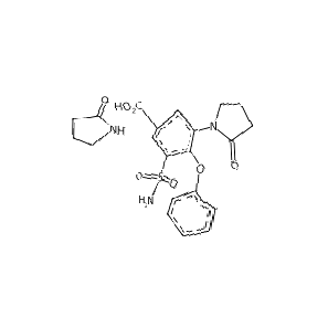 NS(=O)(=O)c1cc(C(=O)O)cc(N2CCCC2=O)c1Oc1ccccc1.O=C1CCCN1